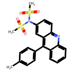 Cc1ccc(-c2c3ccccc3nc3ccc(N(S(C)(=O)=O)S(C)(=O)=O)cc23)cc1